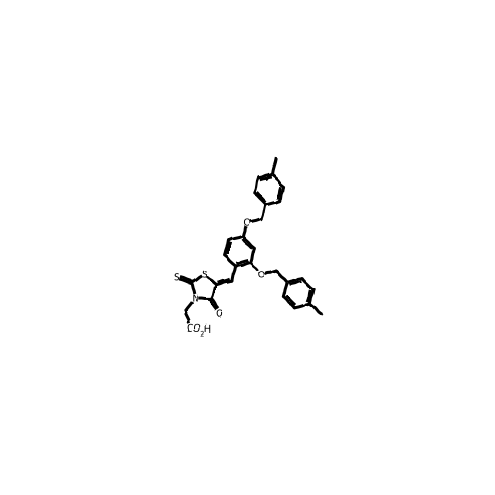 Cc1ccc(COc2ccc(/C=C3\SC(=S)N(CC(=O)O)C3=O)c(OCc3ccc(C)cc3)c2)cc1